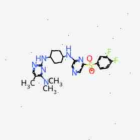 Cc1cnc(NC2CCC(Nc3cncc(S(=O)(=O)c4ccc(F)c(F)c4)n3)CC2)nc1N(C)C